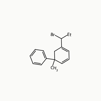 CCC(Br)C1=CC=CC(C)(c2ccccc2)C1